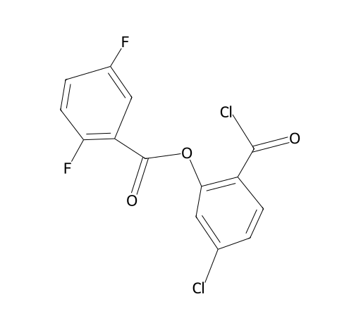 O=C(Oc1cc(Cl)ccc1C(=O)Cl)c1cc(F)ccc1F